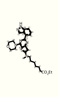 CCOC(=O)CCCCCCN(C)c1cc2nc(-c3cccc4[nH]ncc34)nc(N3CCOCC3)c2s1